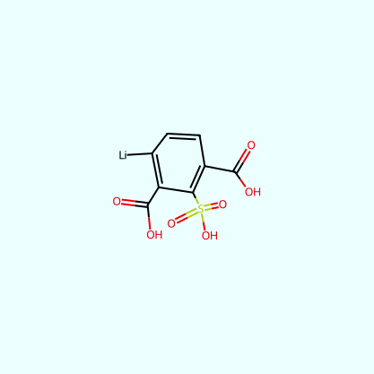 [Li][c]1ccc(C(=O)O)c(S(=O)(=O)O)c1C(=O)O